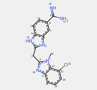 Cn1c(Cc2nc3cc(C(=N)N)ccc3[nH]2)nc2cccc(Cl)c21